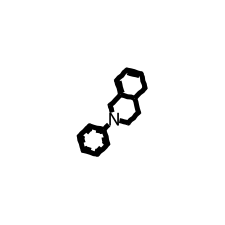 C1=CCC2CCN(c3ccccc3)CC2=C1